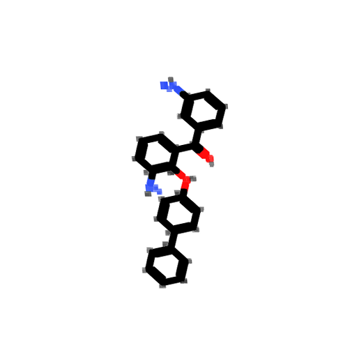 Nc1cccc(C(=O)c2cccc(N)c2Oc2ccc(-c3ccccc3)cc2)c1